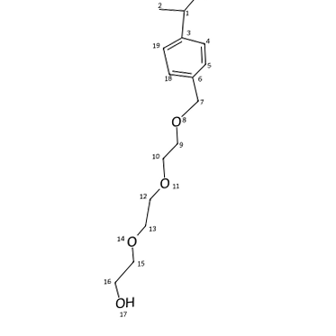 CCCCCCCCCC(C)c1ccc(COCCOCCOCCO)cc1